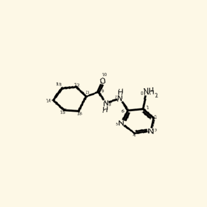 Nc1cncnc1NNC(=O)C1CCCCC1